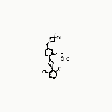 CC1(O)CN(Cc2ccc(C3CN(c4c(Cl)cccc4Cl)C3)c(F)c2)C1.O=CO